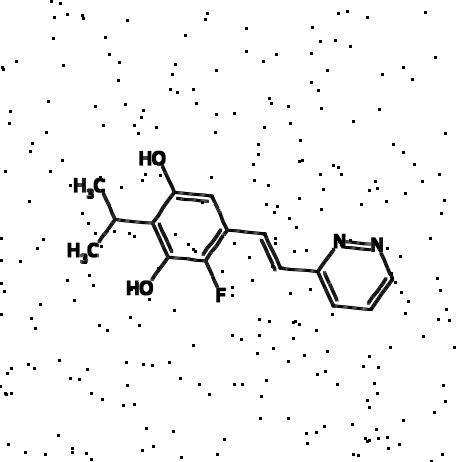 CC(C)c1c(O)cc(/C=C/c2cccnn2)c(F)c1O